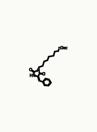 CCCCCCCCCCCCCCCCCCN1C(=O)NC(=Cc2ccccc2)C1=O